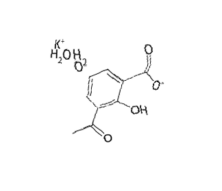 CC(=O)c1cccc(C(=O)[O-])c1O.O.O.[K+]